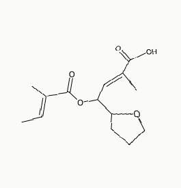 CC=C(C)C(=O)OC(C=C(C)C(=O)O)C1CCCO1